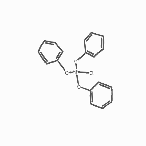 [Cl][Hf]([O]c1ccccc1)([O]c1ccccc1)[O]c1ccccc1